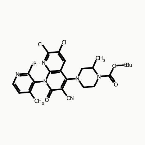 Cc1ccnc(C(C)C)c1-n1c(=O)c(C#N)c(N2CCN(C(=O)OC(C)(C)C)C(C)C2)c2cc(Cl)c(Cl)nc21